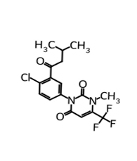 CC(C)CC(=O)c1cc(-n2c(=O)cc(C(F)(F)F)n(C)c2=O)ccc1Cl